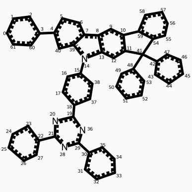 c1ccc(-c2ccc3c4cc5c(cc4n(-c4ccc(-c6nc(-c7ccccc7)nc(-c7ccccc7)n6)cc4)c3c2)C(c2ccccc2)(c2ccccc2)c2ccccc2-5)cc1